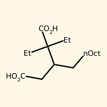 CCCCCCCCCC(CC(=O)O)C(CC)(CC)C(=O)O